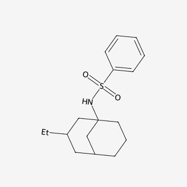 CCC1CC2CCCC(NS(=O)(=O)c3ccccc3)(C1)C2